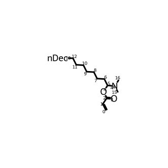 C=CC(=O)OC(CCCCCCCCCCCCCCCCC)N(C)C